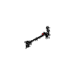 Cc1ncsc1-c1ccc(CNC(=O)[C@@H]2C[C@@H](O)CN2C(=O)[C@@H](NC(=O)COCCOCCOCCNCCCONC(=O)c2ccc(F)c(F)c2Nc2ccc(I)cc2F)C(C)(C)C)cc1